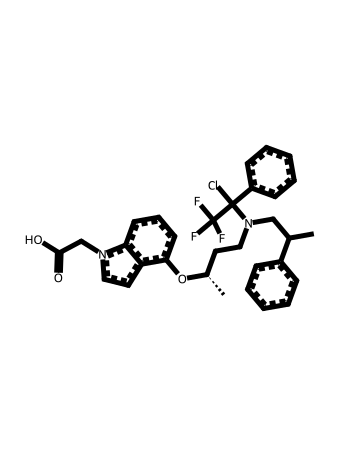 CC(CN(CC[C@H](C)Oc1cccc2c1ccn2CC(=O)O)C(Cl)(c1ccccc1)C(F)(F)F)c1ccccc1